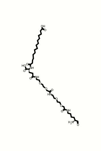 N[C@H](C=O)CCCCNC(=O)COCCOCCNC(=O)COCCOCCNC(=O)CC[C@H](NC(=O)CCCCCCCCCCCCCCC(=O)O)C(=O)O